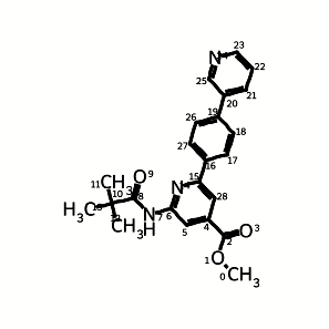 COC(=O)c1cc(NC(=O)C(C)(C)C)nc(-c2ccc(-c3cccnc3)cc2)c1